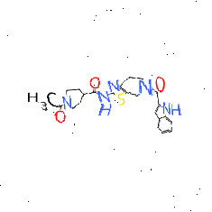 CC(=O)N1CCC(C(=O)Nc2nc3c(s2)CN(C(=O)c2cc4ccccc4[nH]2)CC3)CC1